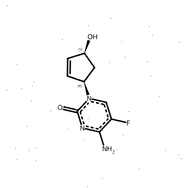 Nc1nc(=O)n([C@H]2C=C[C@@H](O)C2)cc1F